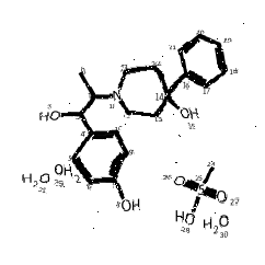 CC(C(O)c1ccc(O)cc1)N1CCC(O)(c2ccccc2)CC1.CS(=O)(=O)O.O.O.O